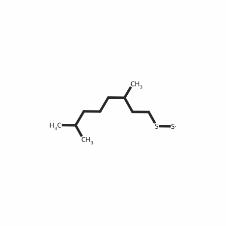 CC(C)CCCC(C)CCS[S]